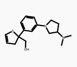 CN(C)C1CCN(c2cccc(C3(CO)CC=CS3)c2)C1